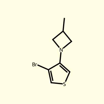 CC1CN(c2cscc2Br)C1